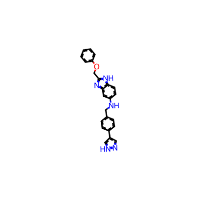 c1ccc(OCc2nc3cc(NCc4ccc(-c5cn[nH]c5)cc4)ccc3[nH]2)cc1